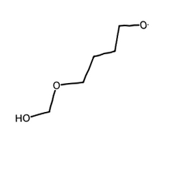 [O]CCCCOCO